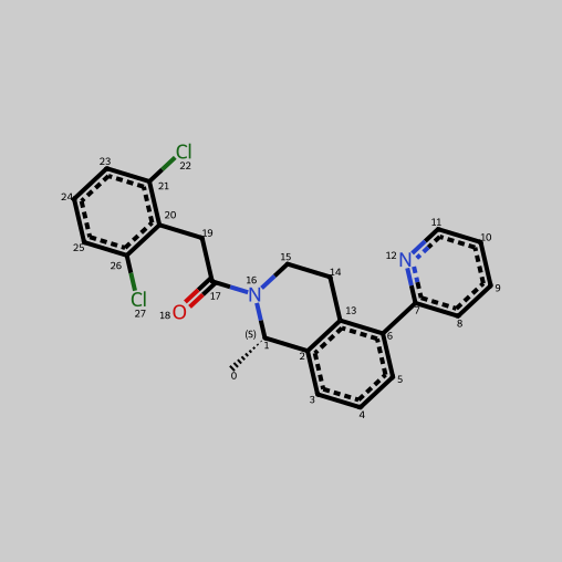 C[C@H]1c2cccc(-c3ccccn3)c2CCN1C(=O)Cc1c(Cl)cccc1Cl